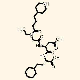 CCN(CC(=O)N[C@@H](CC(=O)O)C(=O)N[C@@H](CCC1CCCCC1)C(=O)O)C(=O)CCCC1CCNCC1